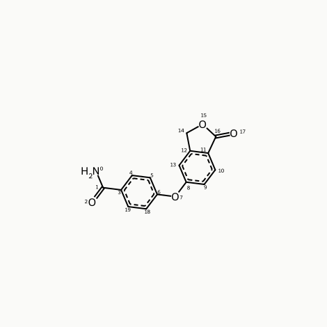 NC(=O)c1ccc(Oc2ccc3c(c2)COC3=O)cc1